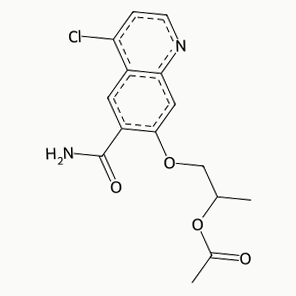 CC(=O)OC(C)COc1cc2nccc(Cl)c2cc1C(N)=O